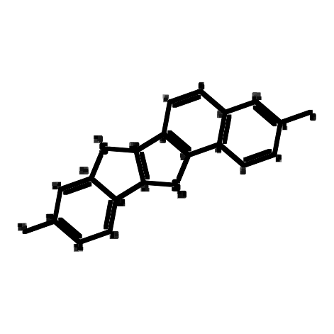 Cc1ccc2c(ccc3c2sc2c4ccc(C)cc4sc32)c1